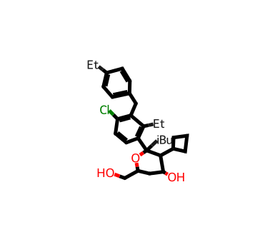 CCc1ccc(Cc2c(Cl)ccc(C3(C(C)CC)OC(CO)CC(O)C3C3CCC3)c2CC)cc1